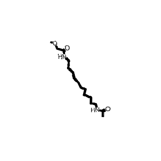 COCC(=O)NCCCCCCCCCCCNC(C)=O